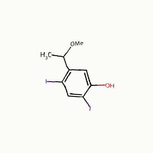 COC(C)c1cc(O)c(I)cc1I